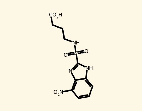 O=C(O)CCCNS(=O)(=O)c1nc2c([N+](=O)[O-])cccc2[nH]1